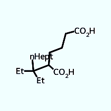 CCCCCCCC(CC)(CC)C(CCCC(=O)O)C(=O)O